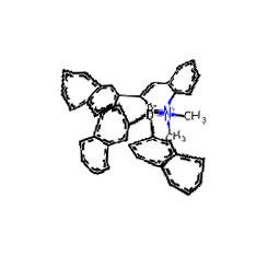 C[N+]1(C)c2ccccc2C=C(c2ccc3ccccc3c2)[B-]1(c1ccc2ccccc2c1)c1ccc2ccccc2c1